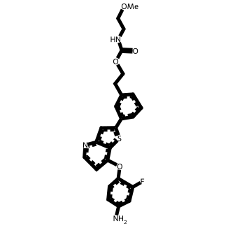 COCCNC(=O)OCCc1cccc(-c2cc3nccc(Oc4ccc(N)cc4F)c3s2)c1